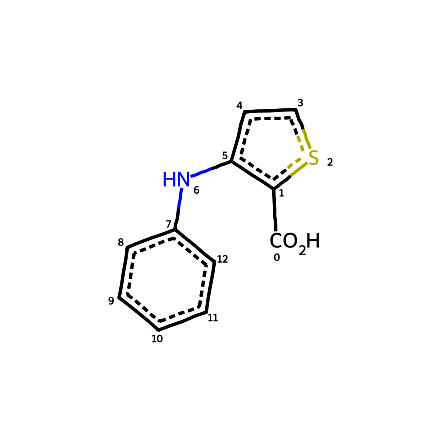 O=C(O)c1sccc1Nc1ccccc1